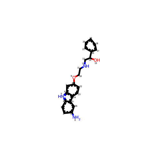 Nc1ccc2[nH]c3cc(OCCNCC(O)c4ccccc4)ccc3c2c1